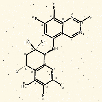 Cc1ncc2c(N[C@H]3c4cc(Cl)c(F)c(O)c4[C@H](C)C[C@]3(O)C(F)(F)F)cc(F)c(F)c2n1